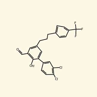 O=Cc1cc(CCCc2ccc(C(F)(F)F)cc2)cc(-c2ccc(Cl)c(Cl)c2)c1O